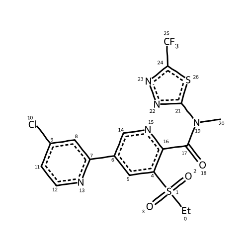 CCS(=O)(=O)c1cc(-c2cc(Cl)ccn2)cnc1C(=O)N(C)c1nnc(C(F)(F)F)s1